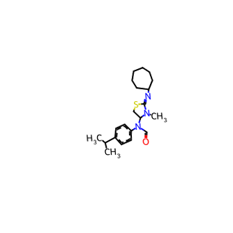 CC(C)c1ccc(N(C=O)C2CSC(=NC3CCCCCC3)N2C)cc1